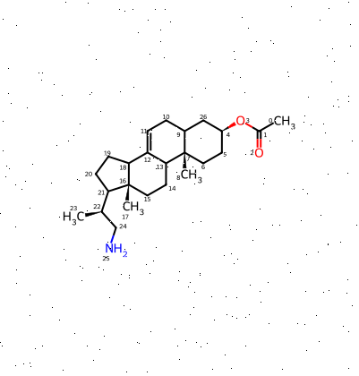 CC(=O)O[C@H]1CC[C@@]2(C)C(CC=C3C2CC[C@@]2(C)C3CCC2[C@H](C)CN)C1